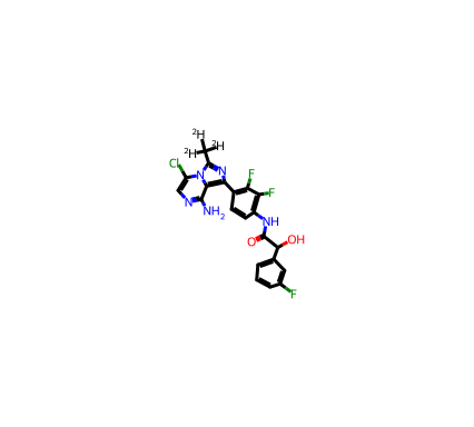 [2H]C([2H])([2H])c1nc(-c2ccc(NC(=O)C(O)c3cccc(F)c3)c(F)c2F)c2c(N)ncc(Cl)n12